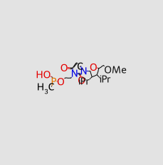 COCC1OC(n2ccc(=O)n(CCOP(C)CO)c2=O)C(C(C)C)C1C(C)C